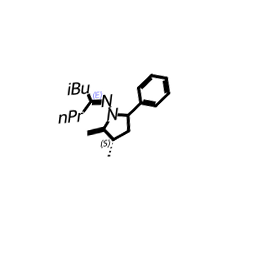 C=C1[C@@H](C)CC(c2ccccc2)N1/N=C(\CCC)C(C)CC